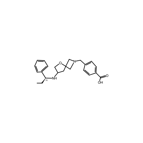 CC[C@H](NC1COC2(C1)CN(Cc1ccc(C(=O)O)cc1)C2)c1ccccc1